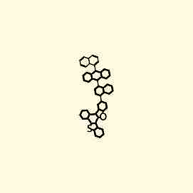 C1=CC2C=CC=C(c3c4ccccc4c(-c4ccc(-c5ccc6oc7c(c6c5)c5ccccc5c5sc6ccccc6c75)c5ccccc45)c4ccccc34)C2C=C1